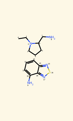 CCN1CCCC1CN.Nc1cccc2nsnc12